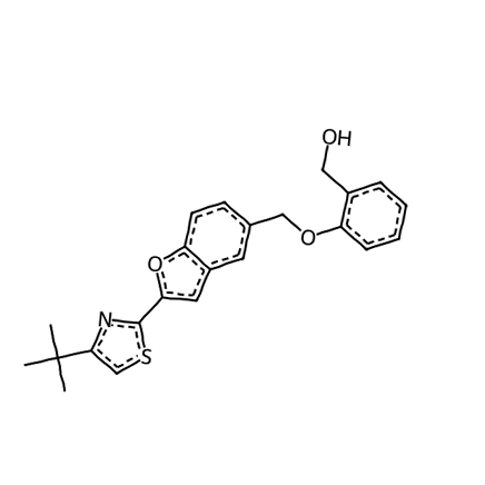 CC(C)(C)c1csc(-c2cc3cc(COc4ccccc4CO)ccc3o2)n1